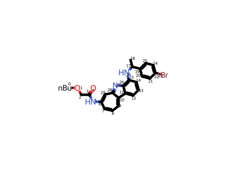 CCCCOCC(=O)Nc1cccc2c3cccc(NC(C)c4ccc(Br)cc4)c3nc-2c1